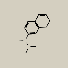 CN(C)N(C)c1ccc2c(c1)CCC=C2